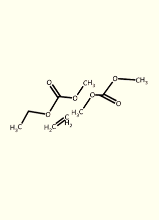 C=C.CCOC(=O)OC.COC(=O)OC